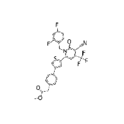 COC(=O)Cc1ccc(-c2csc(-c3cc(C(F)(F)F)c(C#N)c(=O)n3Cc3ccc(F)cc3F)c2)cc1